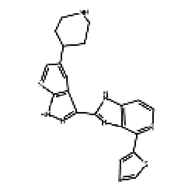 c1csc(-c2nccc3[nH]c(-c4n[nH]c5ncc(C6CCNCC6)cc45)nc23)c1